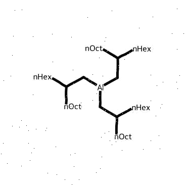 CCCCCCCCC(CCCCCC)[CH2][Al]([CH2]C(CCCCCC)CCCCCCCC)[CH2]C(CCCCCC)CCCCCCCC